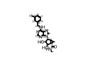 CNC(=O)[C@@]12CC1[C@@H](n1cnc3c(NCc4cccc(I)c4)ncnc31)[C@H](O)[C@@H]2O